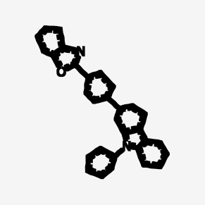 c1ccc(-n2c3ccccc3c3ccc(-c4ccc(-c5nc6ccccc6o5)cc4)cc32)cc1